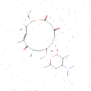 CC[C@H]1OC(=O)[C@H](C)C(=O)[C@H](C)[C@@H](O[C@@H]2OC(C)CC(N(C)C)C2C)[C@](C)(OC)C[C@@H](C)C(=O)/C(C)=C/[C@]1(C)O